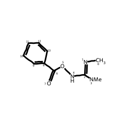 CN=C(NC)NOC(=O)c1ccccc1